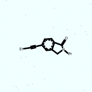 CCC#Cc1ccc2c(c1)CN(C(C)C)C2=O